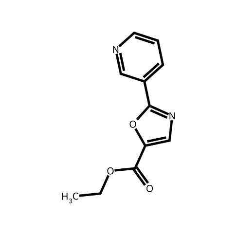 CCOC(=O)c1cnc(-c2cccnc2)o1